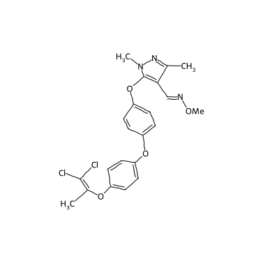 CO/N=C/c1c(C)nn(C)c1Oc1ccc(Oc2ccc(OC(C)=C(Cl)Cl)cc2)cc1